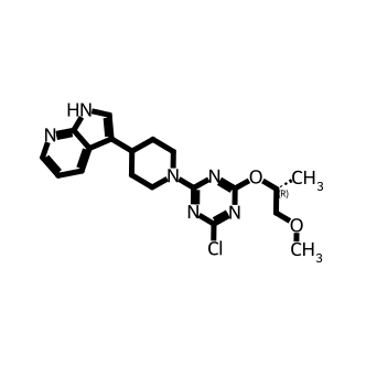 COC[C@@H](C)Oc1nc(Cl)nc(N2CCC(c3c[nH]c4ncccc34)CC2)n1